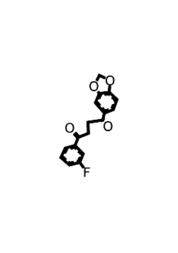 O=C(CCC(=O)c1ccc2c(c1)OCO2)c1cccc(F)c1